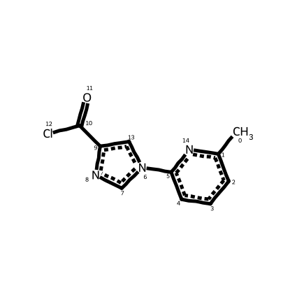 Cc1cccc(-n2cnc(C(=O)Cl)c2)n1